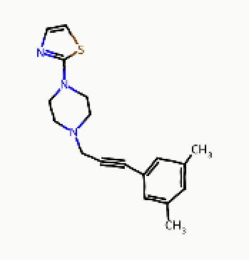 Cc1cc(C)cc(C#CCN2CCN(c3nccs3)CC2)c1